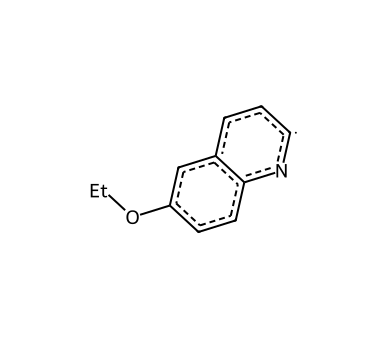 CCOc1ccc2n[c]ccc2c1